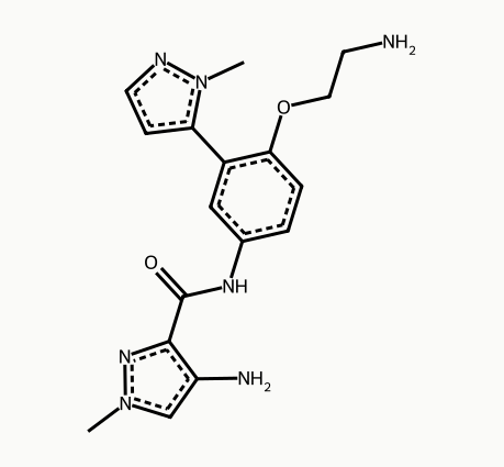 Cn1cc(N)c(C(=O)Nc2ccc(OCCN)c(-c3ccnn3C)c2)n1